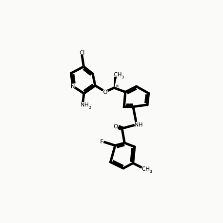 Cc1ccc(F)c(C(=O)Nc2cccc([C@H](C)Oc3cc(Cl)cnc3N)c2)c1